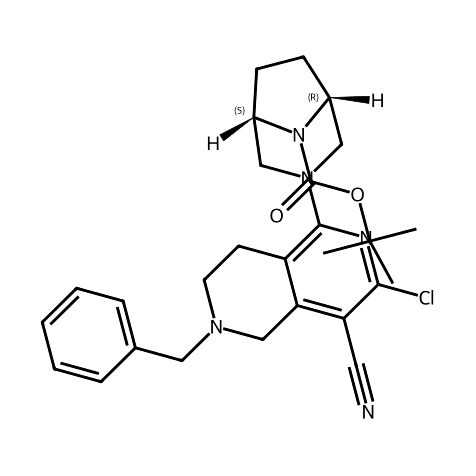 CC(C)(C)OC(=O)N1[C@@H]2CC[C@H]1CN(c1nc(Cl)c(C#N)c3c1CCN(Cc1ccccc1)C3)C2